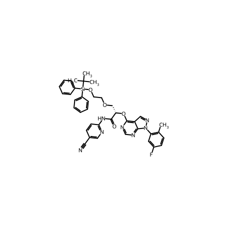 Cc1ccc(F)cc1-n1ncc2c(O[C@@H](COCCO[Si](c3ccccc3)(c3ccccc3)C(C)(C)C)C(=O)Nc3ccc(C#N)cn3)ncnc21